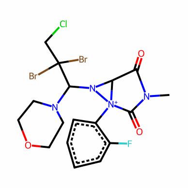 CN1C(=O)C2N(C(N3CCOCC3)C(Br)(Br)CCl)[N+]2(c2ccccc2F)C1=O